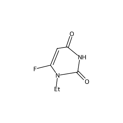 CCn1c(F)cc(=O)[nH]c1=O